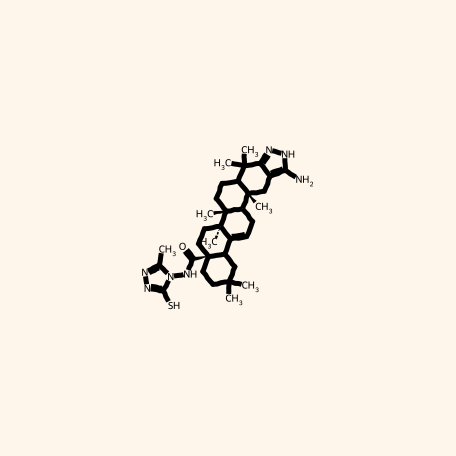 Cc1nnc(S)n1NC(=O)[C@]12CCC(C)(C)CC1C1=CCC3[C@@]4(C)Cc5c(n[nH]c5N)C(C)(C)C4CC[C@@]3(C)[C@]1(C)CC2